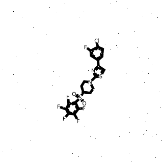 O=S(=O)(c1c(F)c(F)c(F)c(F)c1F)C1CCN(c2nc(-c3ccc(Cl)c(F)c3)cs2)CC1